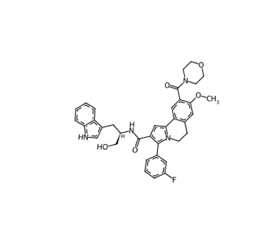 COc1cc2c(cc1C(=O)N1CCOCC1)-c1cc(C(=O)N[C@@H](CO)Cc3c[nH]c4ccccc34)c(-c3cccc(F)c3)n1CC2